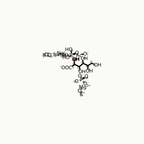 CC(=O)[O-].O=C([O-])C(O)C(O)C(O)C(O)CO.O=P(O)(O)O.O=P([O-])([O-])[O-].[Cl-].[Cl-].[Cl-].[K+].[K+].[Mg+2].[Na+].[Na+].[Na+].[Na+]